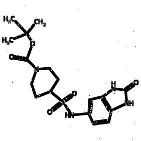 CC(C)(C)OC(=O)N1CCC(S(=O)(=O)Nc2ccc3[nH]c(=O)[nH]c3c2)CC1